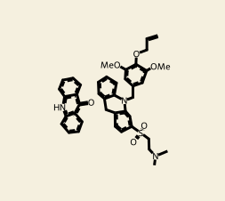 C=CCOc1c(OC)cc(CN2c3ccccc3Cc3ccc(S(=O)(=O)CCN(C)C)cc32)cc1OC.O=c1c2ccccc2[nH]c2ccccc12